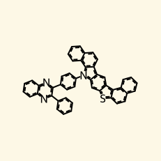 c1ccc(-c2nc3ccccc3nc2-c2ccc(-n3c4cc5sc6ccc7ccccc7c6c5cc4c4ccc5ccccc5c43)cc2)cc1